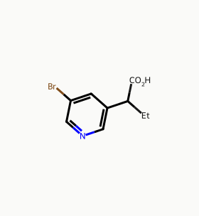 CCC(C(=O)O)c1cncc(Br)c1